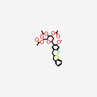 COc1cc(F)c(CC2Cc3ccccc3S2)cc1C1CC(OC(C)=O)[C@H](OC(C)=O)C(COC(C)=O)O1